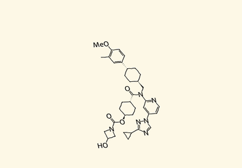 COc1ccc([C@H]2CC[C@H](CN(c3cc(-n4cnc(C5CC5)n4)ccn3)C(=O)[C@H]3CC[C@H](OC(=O)N4CC(O)C4)CC3)CC2)cc1C